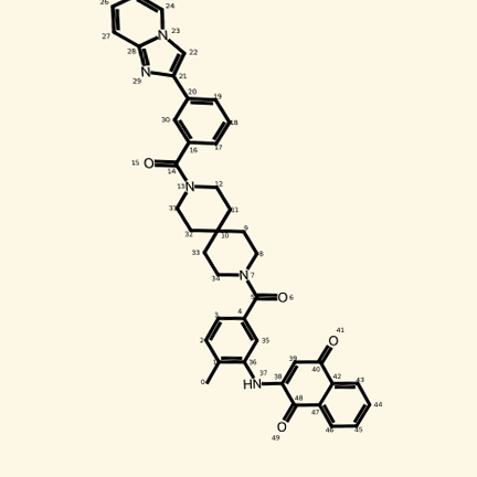 Cc1ccc(C(=O)N2CCC3(CCN(C(=O)c4cccc(-c5cn6ccccc6n5)c4)CC3)CC2)cc1NC1=CC(=O)c2ccccc2C1=O